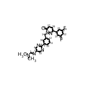 CN(C)/C=N/c1cnc(-c2cccc(Cn3nc(-c4cc(F)cc(F)c4)ccc3=O)c2)nc1